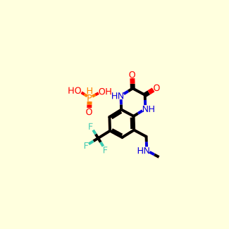 CNCc1cc(C(F)(F)F)cc2[nH]c(=O)c(=O)[nH]c12.O=[PH](O)O